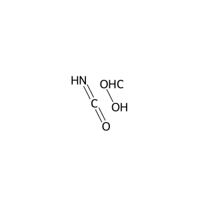 N=C=O.O=CO